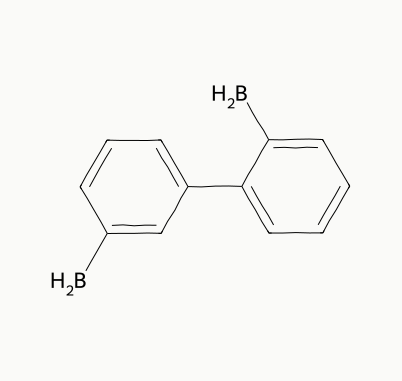 Bc1cccc(-c2ccccc2B)c1